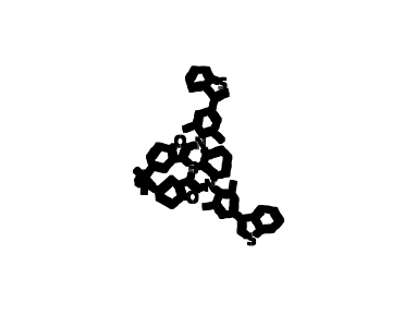 Cc1cc(-c2csc3ccccc23)cc(C)c1N1c2cccc3c2B(c2c1oc1ccc(C(C)(C)C)cc21)c1c(oc2ccc(C(C)(C)C)cc12)N3c1c(C)cc(-c2csc3ccccc23)cc1C